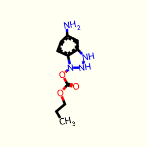 CCCOC(=O)ON1NNc2cc(N)ccc21